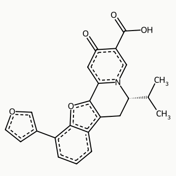 CC(C)[C@@H]1Cc2c(oc3c(-c4ccoc4)cccc23)-c2cc(=O)c(C(=O)O)cn21